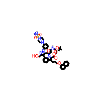 CCOC(=O)c1c(CCCOc2cccc3ccccc23)c2cccc(-c3c(CO)nn(C)c3COc3ccc(N4CCN(S(=O)(=O)N(C)C)CC4)cc3)c2n1CCCN(C)C(=O)OC(C)(C)C